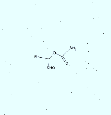 CC(C)C(C=O)OC(N)=O